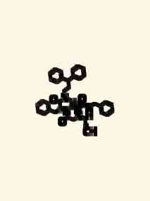 C#CCN1CC(=O)N2[C@@H](Cc3ccccc3)C(=O)N(CCC(c3ccccc3)c3ccccc3)C[C@@H]2N1C(=O)NCc1ccccc1